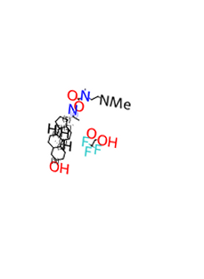 CNCCN(C)C(=O)O/N=C(\C)[C@H]1CC[C@H]2[C@@H]3CCC4C[C@@H](O)CC[C@]4(C)[C@H]3CC[C@]12C.O=C(O)C(F)(F)F